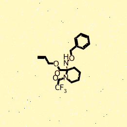 C=CCOC(=O)[C@@]1(NOCc2ccccc2)CCCCN1C(=O)C(F)(F)F